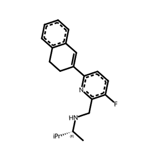 CC(C)[C@@H](C)NCc1nc(C2=Cc3ccccc3CC2)ccc1F